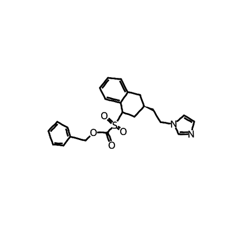 O=C(OCc1ccccc1)S(=O)(=O)C1C[C@H](CCn2ccnc2)Cc2ccccc21